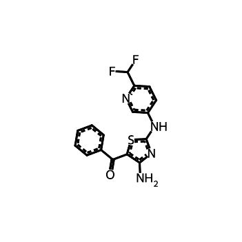 Nc1nc(Nc2ccc(C(F)F)nc2)sc1C(=O)c1ccccc1